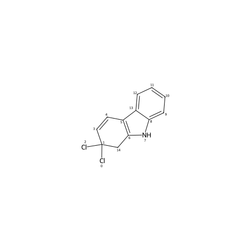 ClC1(Cl)C=Cc2c([nH]c3ccccc23)C1